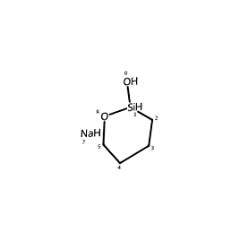 O[SiH]1CCCCO1.[NaH]